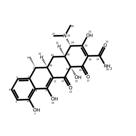 C[C@H]1c2cccc(O)c2C(O)=C2C(=O)[C@]3(O)C(=O)C(C(N)=O)=C(O)[C@@H](N(C)C)[C@@H]3C[C@@H]21